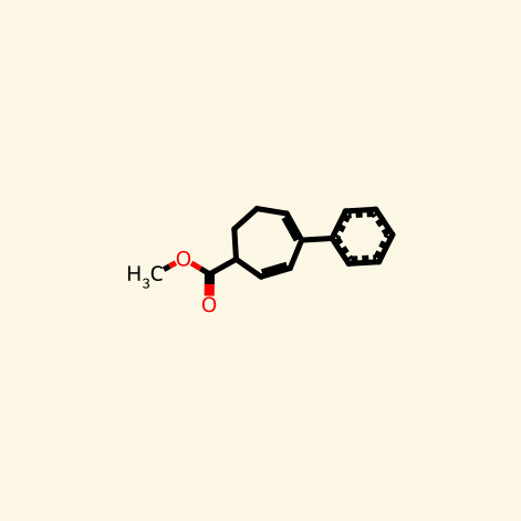 COC(=O)C1C=CC(c2ccccc2)=CCC1